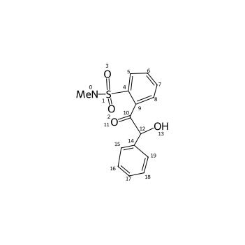 CNS(=O)(=O)c1ccccc1C(=O)C(O)c1ccccc1